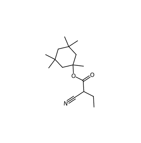 CCC(C#N)C(=O)OC1(C)CC(C)(C)CC(C)(C)C1